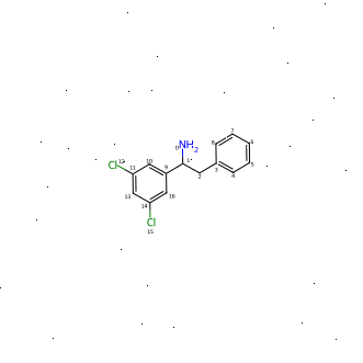 NC(Cc1ccccc1)c1cc(Cl)cc(Cl)c1